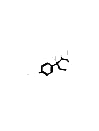 NC1(c2ccc(C(F)(F)F)cc2)CCOCC1O